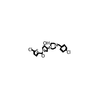 O=C(c1ccc(Cl)s1)N1C[C@H](O)[C@@H](N2CCN(Cc3ccc(Cl)cc3)CC2)C1